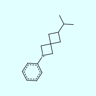 CC(C)C1CC2(C1)CN(c1ccccc1)C2